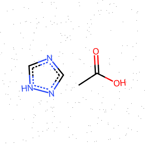 CC(=O)O.c1nc[nH]n1